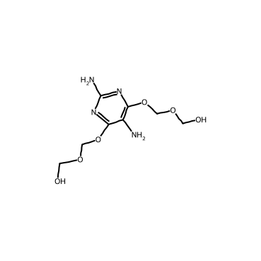 Nc1nc(OCOCO)c(N)c(OCOCO)n1